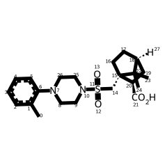 Cc1ccccc1N1CCN(S(=O)(=O)C[C@@]23CC[C@@H](C[C@H]2C(=O)O)C3(C)C)CC1